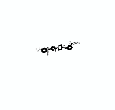 COC(=O)c1cccc(COC2CCN(c3ccc(-c4nc5cc(C(F)(F)F)ccc5[nH]4)cn3)CC2)c1